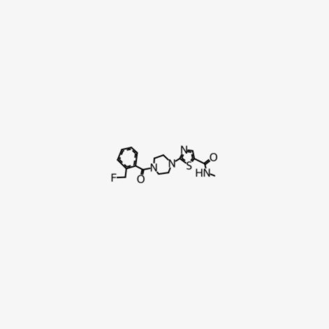 CNC(=O)c1cnc(N2CCN(C(=O)c3ccccc3CF)CC2)s1